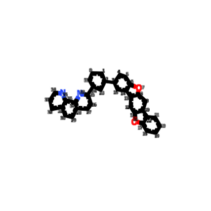 c1cc(-c2ccc3oc4cc5c(cc4c3c2)oc2ccccc25)cc(-c2ccc3ccc4cccnc4c3n2)c1